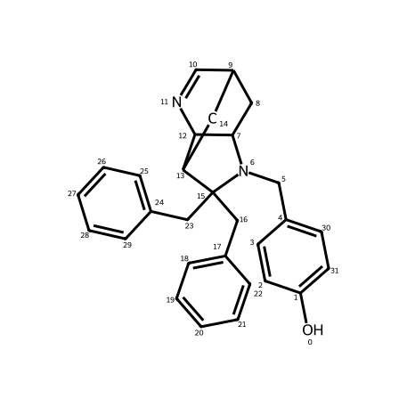 Oc1ccc(CN2C3CC4C=NC3C(C4)C2(Cc2ccccc2)Cc2ccccc2)cc1